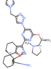 C[C@H](Oc1cc(-n2cc(Cn3ccnc3)nn2)nc(-c2noc3c2CCC[C@@]32CCCc3sc(N)c(C#N)c32)n1)[C@@H]1CCCN1C